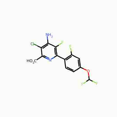 Nc1c(F)c(-c2ccc(OC(F)F)cc2F)nc(C(=O)O)c1Cl